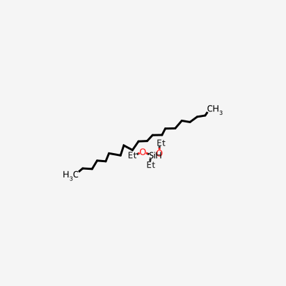 CCCCCCCCCCCCCCCCCCCC.CCO[SiH](CC)OCC